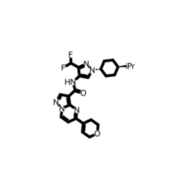 CC(C)[C@H]1CC[C@H](n2cc(NC(=O)c3cnn4ccc(C5=CCOCC5)nc34)c(C(F)F)n2)CC1